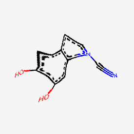 N#Cn1ccc2cc(O)c(O)cc21